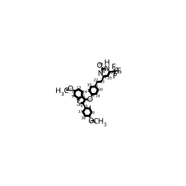 COc1ccc(-c2sc3cc(OC)ccc3c2Oc2ccc(C=Cc3cc(C(F)(F)F)[nH]c(=O)n3)cc2)cc1